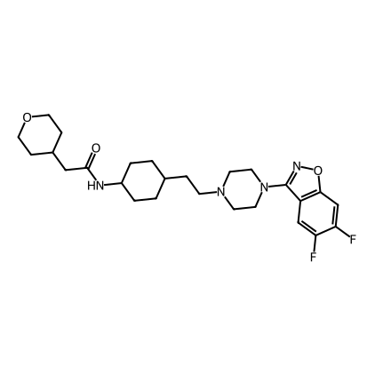 O=C(CC1CCOCC1)NC1CCC(CCN2CCN(c3noc4cc(F)c(F)cc34)CC2)CC1